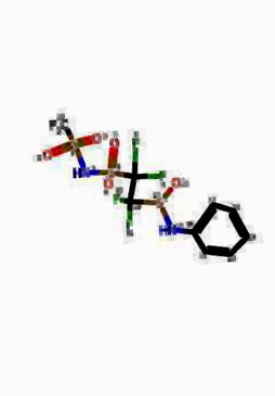 O=S(=O)(NS(=O)(=O)C(F)(F)C(F)(F)[S+]([O-])Nc1ccccc1)C(F)(F)F